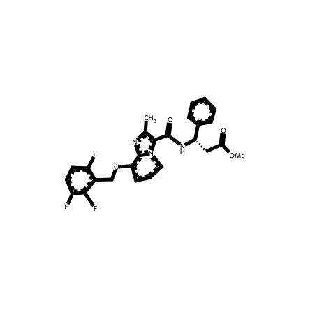 COC(=O)C[C@H](NC(=O)c1c(C)nc2c(OCc3c(F)ccc(F)c3F)cccn12)c1ccccc1